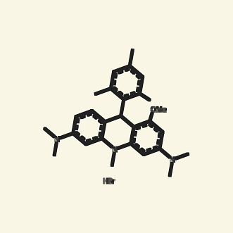 Br.COc1cc(N(C)C)cc2c1C(c1c(C)cc(C)cc1C)c1ccc(N(C)C)cc1N2C